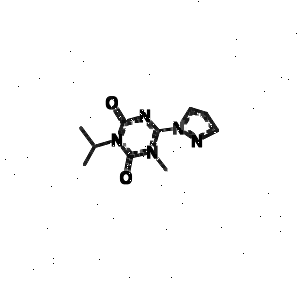 CC(C)n1c(=O)nc(-n2cccn2)n(C)c1=O